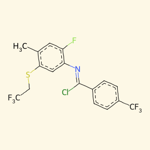 Cc1cc(F)c(/N=C(\Cl)c2ccc(C(F)(F)F)cc2)cc1SCC(F)(F)F